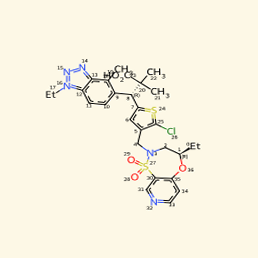 CC[C@@H]1CN(Cc2cc([C@H](c3ccc4c(nnn4CC)c3C)C(C)(C)C(=O)O)sc2Cl)S(=O)(=O)c2cnccc2O1